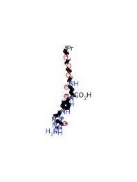 CC(C)CCOCCOCCOCCNC(=O)CCC(NC(=O)c1ccc(NCc2cnc3nc(N)[nH]c(=O)c3n2)cc1)C(=O)O